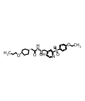 CCCO[C@H]1CC[C@H](CC(=O)NN(O)Cc2ccnc(S(=O)(=O)c3ccc(OCC)cc3)c2)CC1